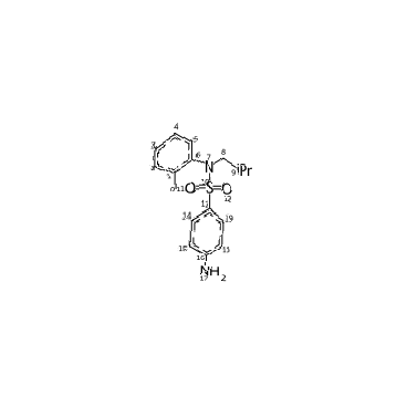 Cc1ccccc1N(CC(C)C)S(=O)(=O)c1ccc(N)cc1